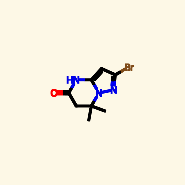 CC1(C)CC(=O)Nc2cc(Br)nn21